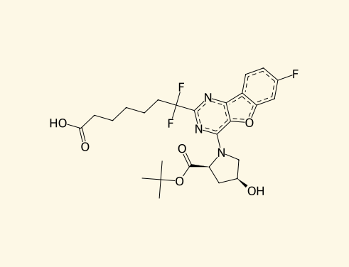 CC(C)(C)OC(=O)[C@@H]1C[C@H](O)CN1c1nc(C(F)(F)CCCCCC(=O)O)nc2c1oc1cc(F)ccc12